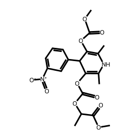 COC(=O)OC1=C(C)NC(C)=C(OC(=O)OC(C)C(=O)OC)C1c1cccc([N+](=O)[O-])c1